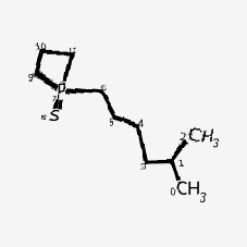 CC(C)CCCCP1(=S)CCC1